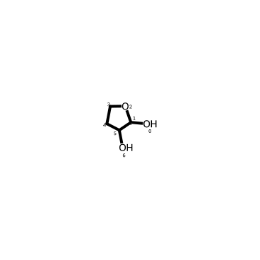 O[C]1OCCC1O